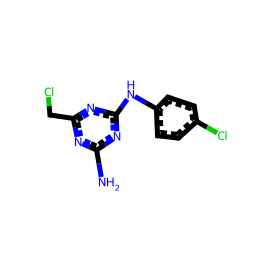 Nc1nc(CCl)nc(Nc2ccc(Cl)cc2)n1